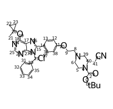 CC(C)(C)OC(=O)N1CCN(CCOc2ccc(-c3nc4c(OC5(C)CC5)ncnc4n3Cc3ccccc3)c(Cl)c2)C[C@@H]1CC#N